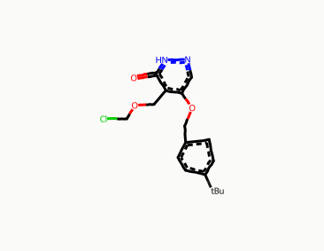 CC(C)(C)c1ccc(COc2cn[nH]c(=O)c2COCCl)cc1